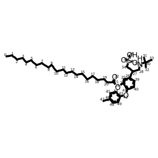 CCCCCCCCCCCCCCCCCCCCCC(=O)Oc1cc(C(CNC(C)(C)C)CS(=O)(=O)O)ccc1Oc1ccc(C)cc1